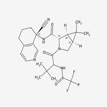 CC(C)(C)C(NC(=O)C(F)(F)F)C(=O)N1C[C@H]2[C@@H]([C@H]1C(=O)N[C@@]1(C#N)CCCc3ccncc31)C2(C)C